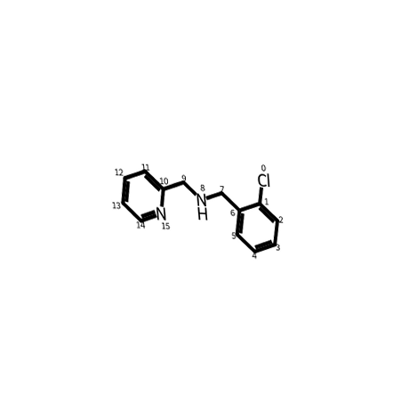 Clc1ccccc1CNCc1ccccn1